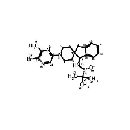 Cc1nc(N2CCC3(CC2)Cc2ccccc2[C@H]3N[S+]([O-])C(C)(C)C)cnc1Br